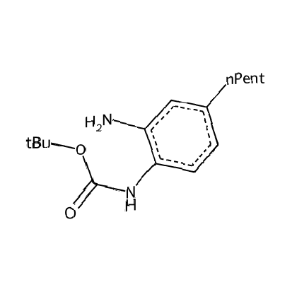 CCCCCc1ccc(NC(=O)OC(C)(C)C)c(N)c1